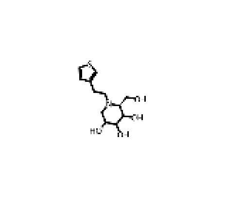 OC[C@H]1C(O)C(O)C(O)CN1CCc1ccsc1